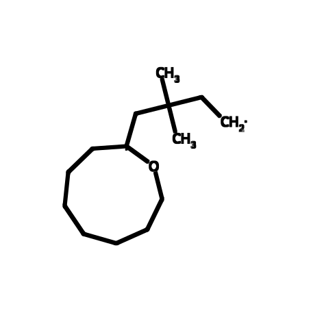 [CH2]CC(C)(C)C[C]1CCCCCCCO1